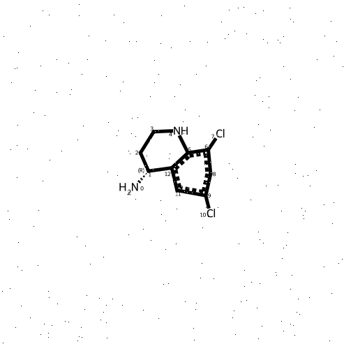 N[C@@H]1CCNc2c(Cl)cc(Cl)cc21